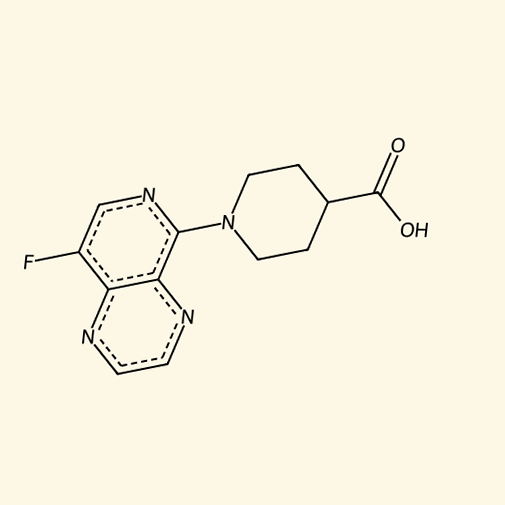 O=C(O)C1CCN(c2ncc(F)c3nccnc23)CC1